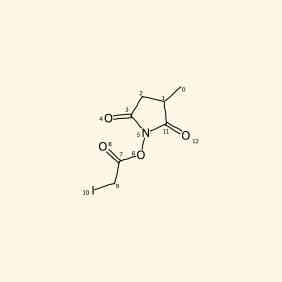 CC1CC(=O)N(OC(=O)CI)C1=O